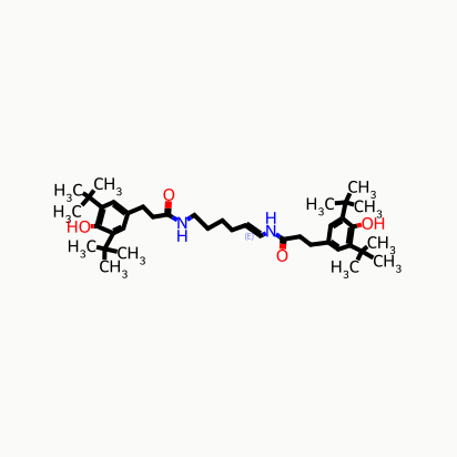 CC(C)(C)c1cc(CCC(=O)N/C=C/CCCCNC(=O)CCc2cc(C(C)(C)C)c(O)c(C(C)(C)C)c2)cc(C(C)(C)C)c1O